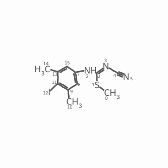 CS/C(=N\C#N)Nc1cc(C)c(I)c(C)c1